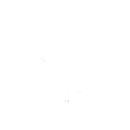 O=S(=O)([O-])c1cc2ccc3cccc4ccc(c1)c2c34.[Na+]